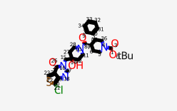 CC(C)(C)OC(=O)N1CC[C@@H](C(=O)N2CCC(O)(Cn3cnc4c(Cl)scc4c3=O)CC2)[C@H](c2ccccc2)C1